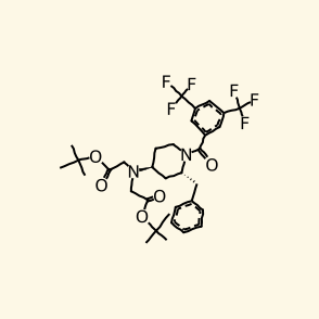 CC(C)(C)OC(=O)CN(CC(=O)OC(C)(C)C)[C@H]1CCN(C(=O)c2cc(C(F)(F)F)cc(C(F)(F)F)c2)[C@H](Cc2ccccc2)C1